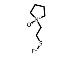 CCSCC[N+]1([O-])CCCC1